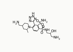 CC1CC(CN)CCN1c1ccc(S(=O)(=O)NCC(O)CN)c(S(N)(=O)=O)c1-c1nn[nH]n1